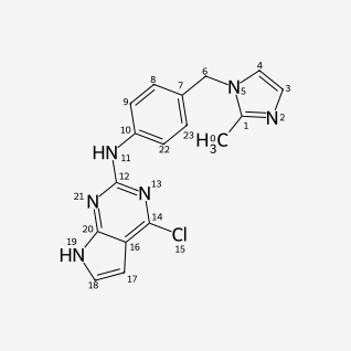 Cc1nccn1Cc1ccc(Nc2nc(Cl)c3cc[nH]c3n2)cc1